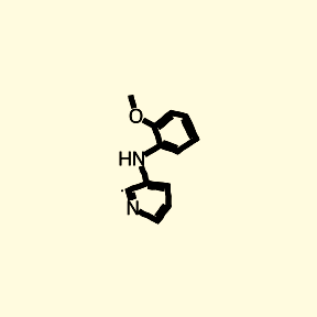 COc1ccccc1Nc1[c]nccc1